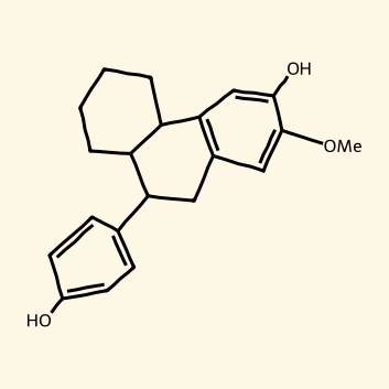 COc1cc2c(cc1O)C1CCCCC1C(c1ccc(O)cc1)C2